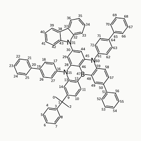 CC(C)(c1ccccc1)c1ccc2c(c1)N(c1ccc(-c3ccccc3)cc1)c1cc(-n3c4ccccc4c4ccccc43)cc3c1B2c1cc(-c2ccccc2)ccc1N3c1ccc(-c2ccccc2)cc1